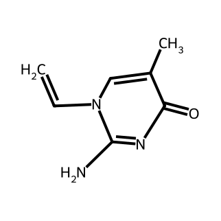 C=Cn1cc(C)c(=O)nc1N